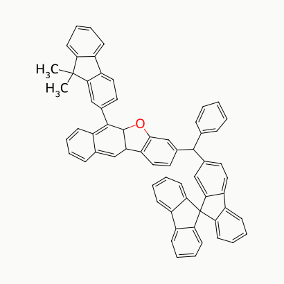 CC1(C)c2ccccc2-c2ccc(C3=c4ccccc4=CC4c5ccc(C(c6ccccc6)c6ccc7c(c6)C6(c8ccccc8-c8ccccc86)c6ccccc6-7)cc5OC34)cc21